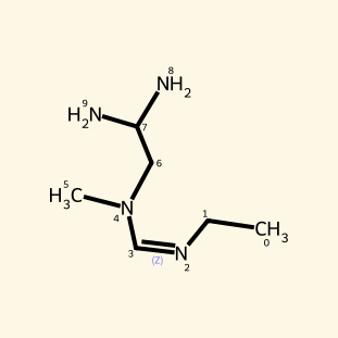 CC/N=C\N(C)CC(N)N